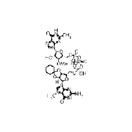 COC1[C@@H](COP(=O)(O)OP(=O)(O)OP(=O)(O)OC[C@H]2O[C@@H](n3c[n+](C)c4c(=O)[nH]c(N)nc43)[C@H]3OC4(CCCCC4)OC23)O[C@@H](n2cnc3c(=O)[nH]c(C)nc32)[C@H]1O